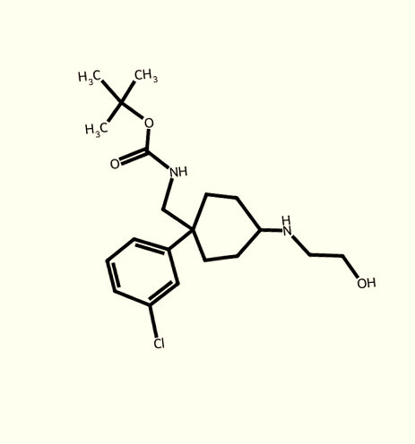 CC(C)(C)OC(=O)NCC1(c2cccc(Cl)c2)CCC(NCCO)CC1